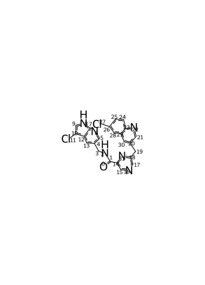 O=C(NCc1cnc2[nH]cc(Cl)c2c1)c1cncc(Cc2cnc3ccc(Cl)cc3c2)n1